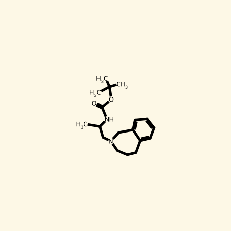 CC(CN1CCCc2ccccc2C1)NC(=O)OC(C)(C)C